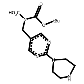 CC(C)(C)OC(=O)N(Cc1cnc(N2CCNCC2)nc1)C(=O)O